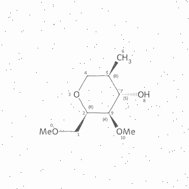 COC[C@H]1OC[C@@H](C)[C@H](O)[C@H]1OC